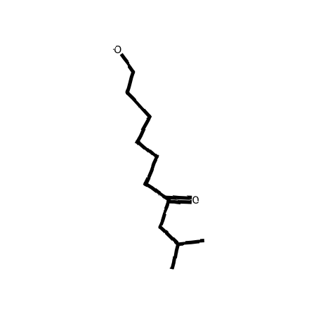 CC(C)CC(=O)CCCCCC[O]